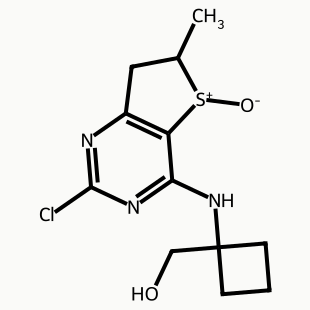 CC1Cc2nc(Cl)nc(NC3(CO)CCC3)c2[S+]1[O-]